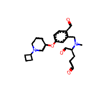 CN(Cc1cc(OC2CCCN(C3CCC3)C2)ccc1C=O)C(C=O)CCC=O